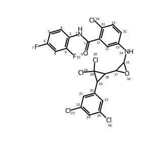 O=C(Nc1ccc(F)cc1F)c1cc(NC2OC2C2C(c3cc(Cl)cc(Cl)c3)C2(Cl)Cl)ccc1Cl